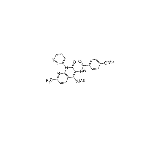 CNc1c(NC(=O)c2ccc(OC)cc2)c(=O)n(-c2cccnc2)c2nc(C(F)(F)F)ccc12